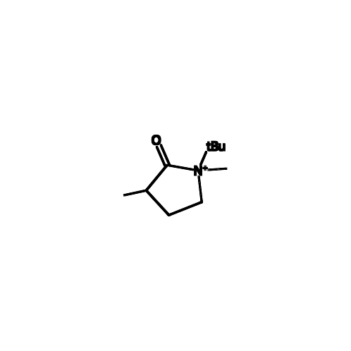 CC1CC[N+](C)(C(C)(C)C)C1=O